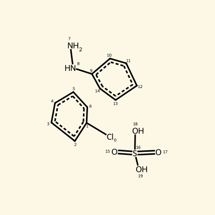 Clc1ccccc1.NNc1ccccc1.O=S(=O)(O)O